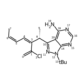 C=C(Cl)/C(=C\C=C/C)[C@H](C)c1nn(C(C)(C)C)c2ncnc(N)c12